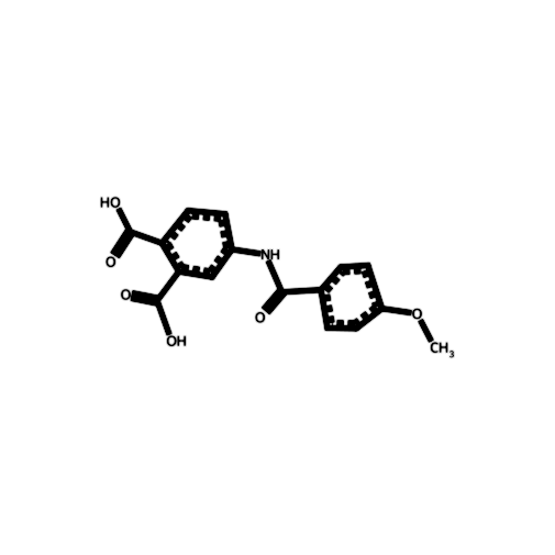 COc1ccc(C(=O)Nc2ccc(C(=O)O)c(C(=O)O)c2)cc1